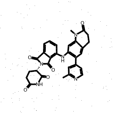 Cc1cc(-c2cc3c(cc2Nc2cccc4c2C(=O)N([C@H]2CCC(=O)NC2=O)C4=O)N(C)C(=O)CC3)ccn1